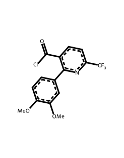 COc1ccc(-c2nc(C(F)(F)F)ccc2C(=O)Cl)cc1OC